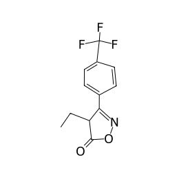 CCC1C(=O)ON=C1c1ccc(C(F)(F)F)cc1